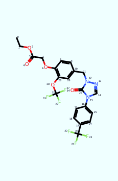 CCOC(=O)COc1ccc(Cn2ncn(-c3ccc(C(F)(F)F)cc3)c2=O)cc1OC(F)(F)F